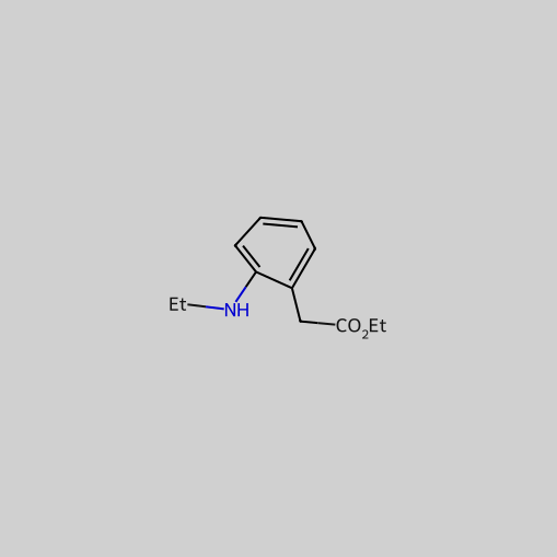 CCNc1ccccc1CC(=O)OCC